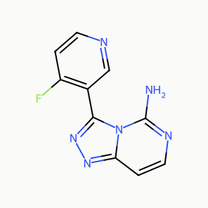 Nc1nccc2nnc(-c3cnccc3F)n12